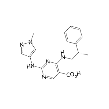 C[C@H](CNc1nc(Nc2cnn(C)c2)ncc1C(=O)O)c1ccccc1